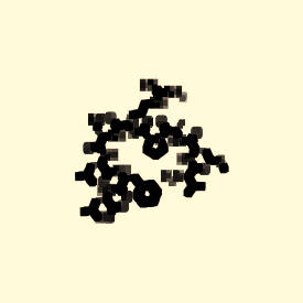 CSCC[C@H](NC(=O)[C@@H](N)C(C)C)C(=O)N[C@@H](C)C(=O)N1CCC[C@H]1C(=O)N[C@@H](CCCNC(=N)N)C(=O)N[C@@H](CS)C(=O)N[C@@H](CC(C)C)C(=O)N[C@@H](Cc1ccccc1)C(=O)N[C@@H](CC(C)C)C(=O)O